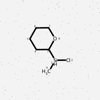 C[SiH](Cl)C1CCCCO1